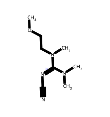 COCCN(C)/C(=N/C#N)N(C)C